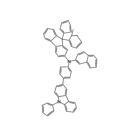 CC1CC=CC=C1C1(c2ccccc2)c2ccccc2-c2ccc(N(c3ccc(-c4ccc5c(c4)c4ccccc4n5-c4ccccc4)cc3)c3ccc4ccccc4c3)cc21